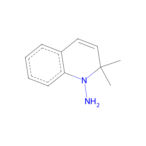 CC1(C)C=Cc2ccccc2N1N